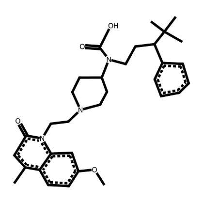 COc1ccc2c(C)cc(=O)n(CCN3CCC(N(CCC(c4ccccc4)C(C)(C)C)C(=O)O)CC3)c2c1